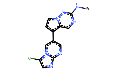 CC(C)Nc1ncc2c(-c3cnc4ncc(Cl)n4c3)ccn2n1